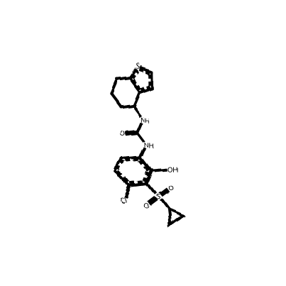 O=C(Nc1ccc(Cl)c(S(=O)(=O)C2CC2)c1O)NC1CCCc2sccc21